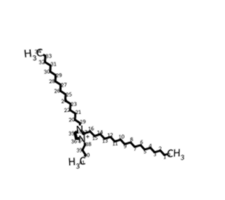 CCCCCCCCCCCCCCCCCc1n(CCCCCCCCCCCCCCCC)cc[n+]1CCCC